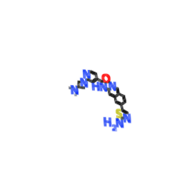 CN(C)C1CN(c2cc(C(=O)Nc3cc4cc(-c5cnc(N)s5)ccc4cn3)ccn2)C1